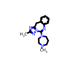 Cc1nc2n(n1)C(N1CCCN(C)CC1)=Nc1ccccc1C2